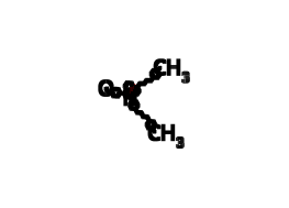 Cc1ccc(C=CC=Cc2ccc(N(C=C(c3ccccc3)c3ccc(C=O)cc3)c3ccc(C=CC=Cc4ccc(C)cc4)cc3)cc2)cc1